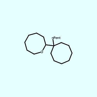 CCCCCC1(C2CCCCCCO2)CCCCCCC1